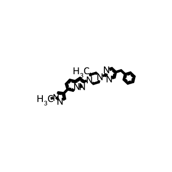 CC1CN(c2ncc(Cc3ccccc3)cn2)CCN1c1cc2ccc(-c3cnn(C)c3)cn2n1